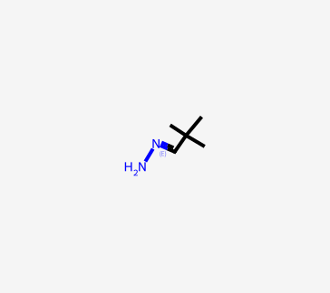 CC(C)(C)/C=N/N